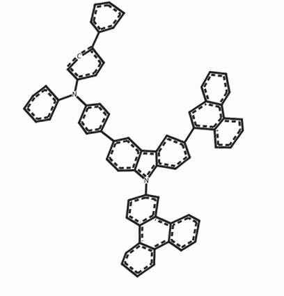 c1ccc(-c2ccc(N(c3ccccc3)c3ccc(-c4ccc5c(c4)c4cc(-c6cc7ccccc7c7ccccc67)ccc4n5-c4ccc5c6ccccc6c6ccccc6c5c4)cc3)cc2)cc1